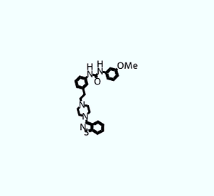 COc1cccc(NC(=O)Nc2cccc(CCN3CCN(c4nsc5ccccc45)CC3)c2)c1